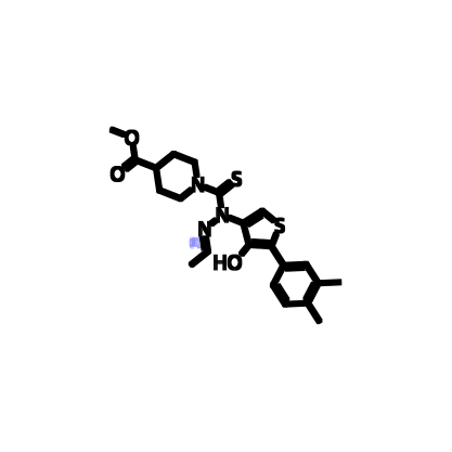 C/C=N/N(C(=S)N1CCC(C(=O)OC)CC1)c1csc(-c2ccc(C)c(C)c2)c1O